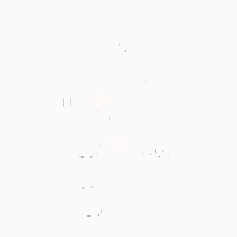 COCOc1c(Cc2ccccc2)cccc1C(C)(C)Pc1ccccc1CN1CCCCC1